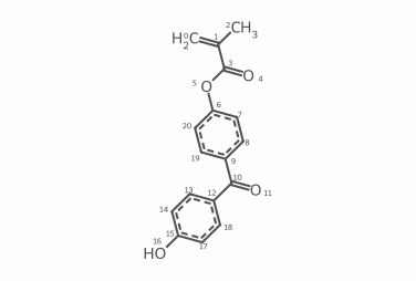 C=C(C)C(=O)Oc1ccc(C(=O)c2ccc(O)cc2)cc1